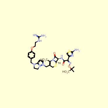 CC(C)(O/N=C(\C(=O)N[C@@H]1C(=O)N2C(C(=O)O)=C(C[n+]3ccc4n3CCN4Cc3ccc(OCCNC(=N)N)cc3)CS[C@H]12)c1csc(N)n1)C(=O)O